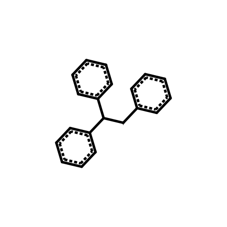 [CH](c1ccccc1)C(c1ccccc1)c1ccccc1